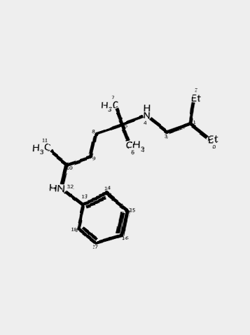 CCC(CC)CNC(C)(C)CCC(C)Nc1ccccc1